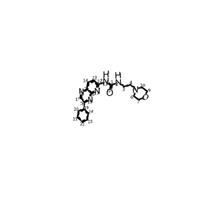 O=C(NCCN1CCOCC1)Nc1ccc2ncc(-c3ccccc3)nc2n1